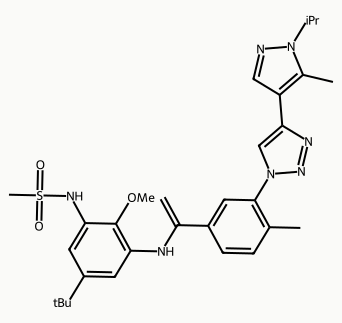 C=C(Nc1cc(C(C)(C)C)cc(NS(C)(=O)=O)c1OC)c1ccc(C)c(-n2cc(-c3cnn(C(C)C)c3C)nn2)c1